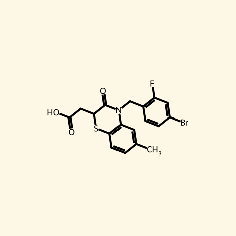 Cc1ccc2c(c1)N(Cc1ccc(Br)cc1F)C(=O)C(CC(=O)O)S2